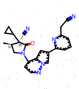 C[C@@H]1CN(c2ccnn3cc(-c4cccc(CC#N)n4)cc23)C(=O)[C@]1(C#N)C1CC1